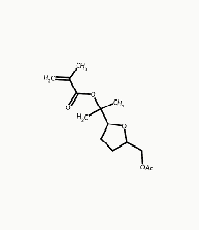 C=C(C)C(=O)OC(C)(C)C1CCC(COC(C)=O)O1